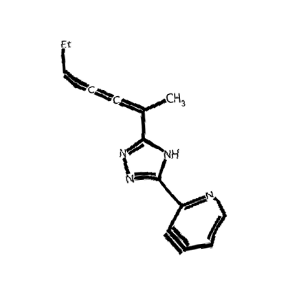 CCC=C=C=C(C)c1nnc(-c2c#cccn2)[nH]1